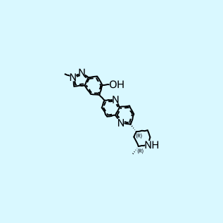 C[C@@H]1C[C@H](c2ccc3nc(-c4cc5cn(C)nc5cc4O)ccc3n2)CCN1